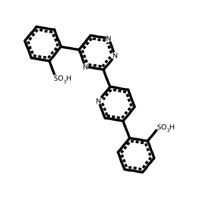 O=S(=O)(O)c1ccccc1-c1ccc(-c2nncc(-c3ccccc3S(=O)(=O)O)n2)nc1